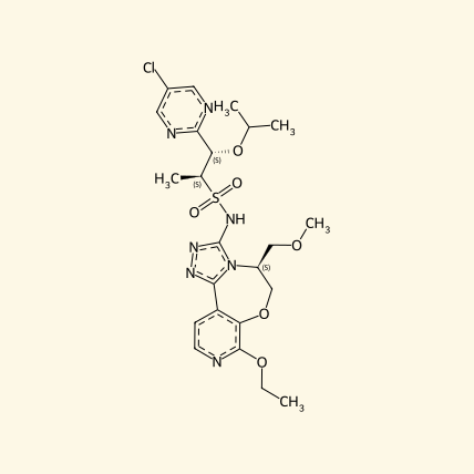 CCOc1nccc2c1OC[C@H](COC)n1c(NS(=O)(=O)[C@@H](C)[C@@H](OC(C)C)c3ncc(Cl)cn3)nnc1-2